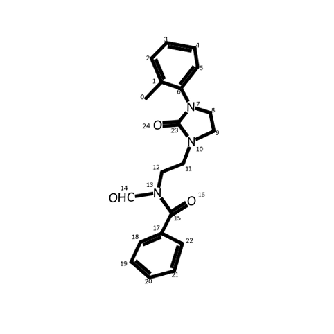 Cc1ccccc1N1CCN(CCN(C=O)C(=O)c2ccccc2)C1=O